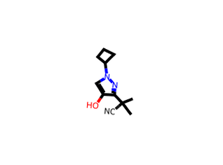 CC(C)(C#N)c1nn(C2CCC2)cc1O